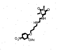 CC(=O)Oc1cc([N+](=O)[O-])ccc1OCCCCNCCNc1cc(=O)n(C)c(=O)n1C